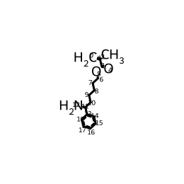 C=C(C)C(=O)OCCCCCC(N)c1ccccc1